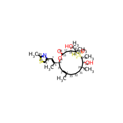 C/C1=C/C[C@@H](/C(C)=C/c2csc(C)n2)OC(=O)C[C@H](O)C(C)(C)[SH2+]([O-])[C@H](C)[C@@H](O)[C@@H](C)CCC1